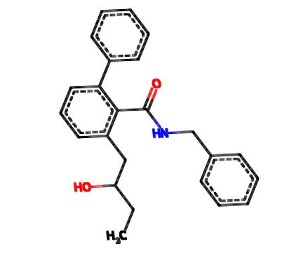 CCC(O)Cc1cccc(-c2ccccc2)c1C(=O)NCc1ccccc1